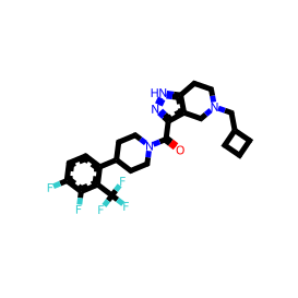 O=C(c1n[nH]c2c1CN(CC1CCC1)CC2)N1CCC(c2ccc(F)c(F)c2C(F)(F)F)CC1